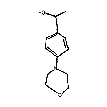 CC(O)c1ccc(N2CCOCC2)cc1